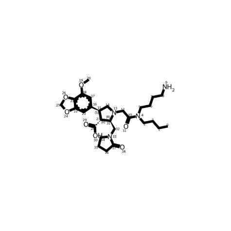 CCCCN(CCCCN)C(=O)CN1C[C@H](c2cc(OC)c3c(c2)OCO3)[C@@H](C(=O)O)[C@@H]1CN1CCCC1=O